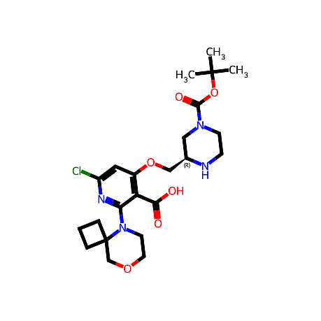 CC(C)(C)OC(=O)N1CCN[C@@H](COc2cc(Cl)nc(N3CCOCC34CCC4)c2C(=O)O)C1